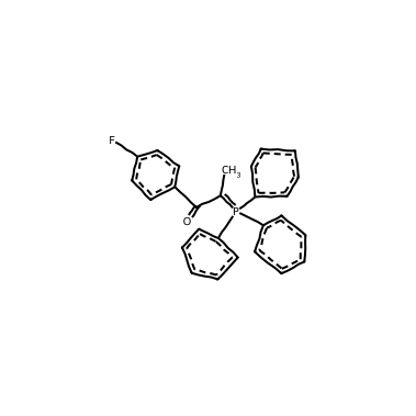 CC(C(=O)c1ccc(F)cc1)=P(c1ccccc1)(c1ccccc1)c1ccccc1